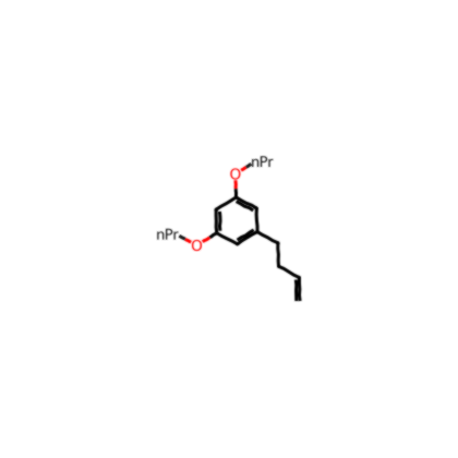 C=CCCc1cc(OCCC)cc(OCCC)c1